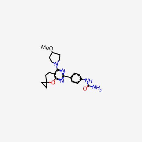 COC1CCN(c2nc(-c3ccc(NC(N)=O)cc3)nc3c2CCC2(CC2)O3)CC1